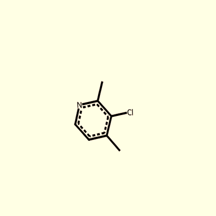 Cc1ccnc(C)c1Cl